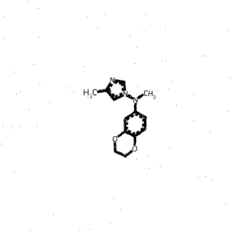 Cc1cn(N(C)c2ccc3c(c2)OCCO3)cn1